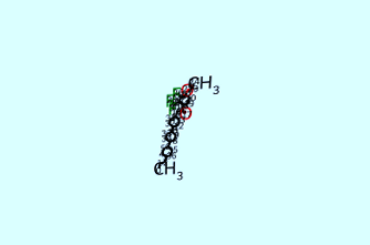 CCCC1CCC(C2CCC(C3CCC(CC(=O)c4ccc(OCC)c(F)c4C(F)F)CC3)CC2)CC1